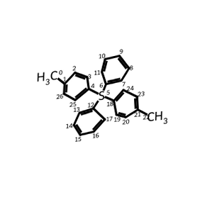 Cc1ccc(S(c2ccccc2)(c2ccccc2)c2ccc(C)cc2)cc1